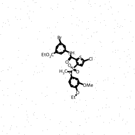 CCOC(=O)c1cc(Br)cc(NC(=O)c2sc(Cl)cc2S(=O)(=O)N(C)c2ccc(OCC)c(OC)c2)c1